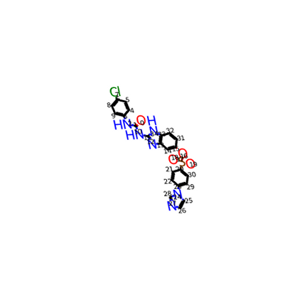 O=C(Nc1ccc(Cl)cc1)Nc1nc2cc(OS(=O)(=O)c3ccc(-n4ccnc4)cc3)ccc2[nH]1